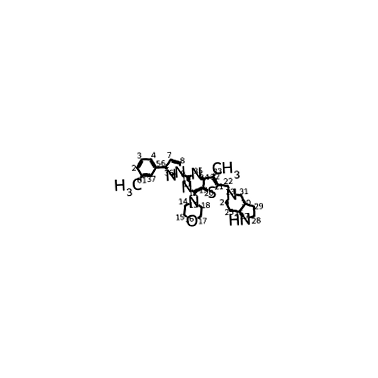 Cc1cccc(-c2ccn(-c3nc(N4CCOCC4)c4sc(CN5CCC6NCCC6C5)c(C)c4n3)n2)c1